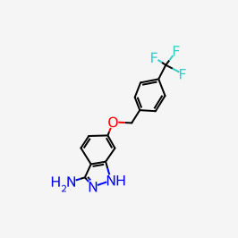 Nc1n[nH]c2cc(OCc3ccc(C(F)(F)F)cc3)ccc12